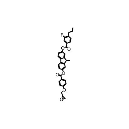 CCCc1ccc(C(=O)Oc2ccc3c(c2)C(C)c2cc(OC(=O)c4ccc(OCC5CO5)cc4)ccc2-3)cc1F